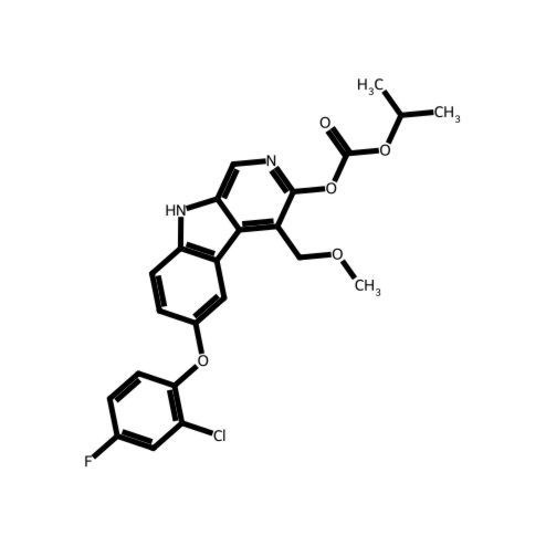 COCc1c(OC(=O)OC(C)C)ncc2[nH]c3ccc(Oc4ccc(F)cc4Cl)cc3c12